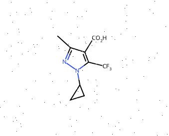 Cc1nn(C2CC2)c(C(F)(F)F)c1C(=O)O